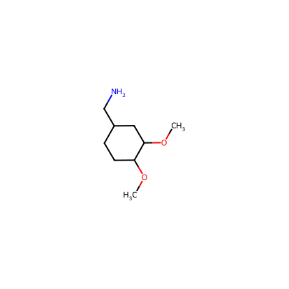 COC1CCC(CN)CC1OC